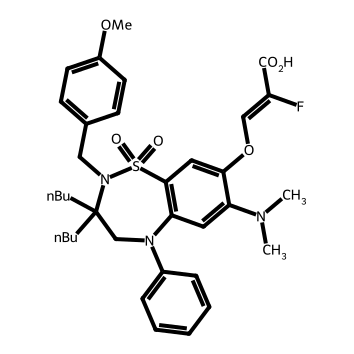 CCCCC1(CCCC)CN(c2ccccc2)c2cc(N(C)C)c(OC=C(F)C(=O)O)cc2S(=O)(=O)N1Cc1ccc(OC)cc1